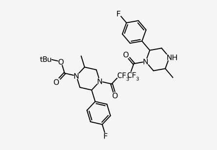 CC1CN(C(=O)C(F)(F)F)C(c2ccc(F)cc2)CN1.CC1CN(C(=O)C(F)(F)F)C(c2ccc(F)cc2)CN1C(=O)OC(C)(C)C